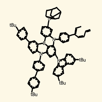 C=C/C=C\C(=C/C)c1ccc(N2c3cc(N4C5CC6CC(C5)CC4C6)ccc3B3c4cc(-c5ccc(C(C)(C)C)cc5)ccc4N(c4ccc(-c5ccc(C(C)(C)C)cc5)cc4)c4cc(-n5c6ccc(C(C)(C)C)cc6c6cc(C(C)(C)C)ccc65)cc2c43)cc1